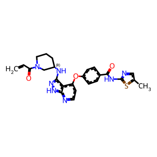 C=CC(=O)N1CCC[C@@H](Nc2n[nH]c3nccc(Oc4ccc(C(=O)Nc5ncc(C)s5)cc4)c23)C1